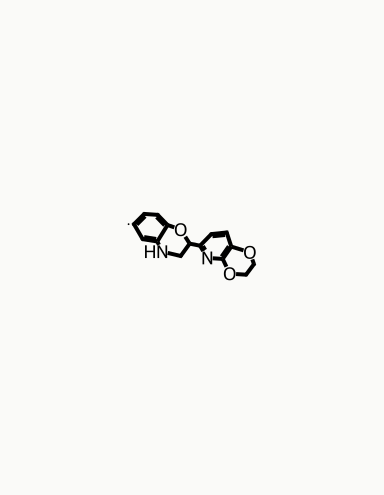 [c]1ccc2c(c1)NCC(c1ccc3c(n1)OCCO3)O2